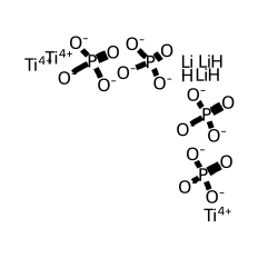 O=P([O-])([O-])[O-].O=P([O-])([O-])[O-].O=P([O-])([O-])[O-].O=P([O-])([O-])[O-].[LiH].[LiH].[LiH].[Ti+4].[Ti+4].[Ti+4]